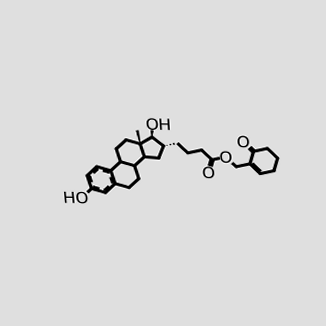 C[C@]12CCC3c4ccc(O)cc4CCC3C1C[C@@H](CCCC(=O)OCC1=CCCCC1=O)[C@@H]2O